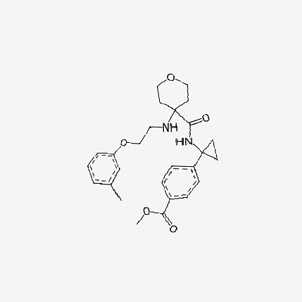 COC(=O)c1ccc(C2(NC(=O)C3(NCCOc4cccc(C)c4)CCOCC3)CC2)cc1